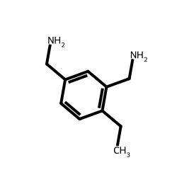 CCc1ccc(CN)cc1CN